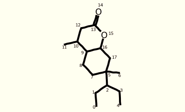 CCC(CC)C1(C)CCC2C(C)CC(=O)OC2C1